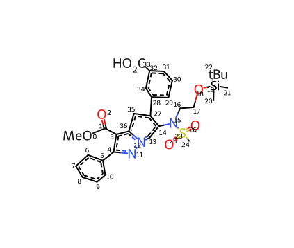 COC(=O)c1c(-c2ccccc2)nn2cc(N(CCO[Si](C)(C)C(C)(C)C)S(C)(=O)=O)c(-c3cccc(C(=O)O)c3)cc12